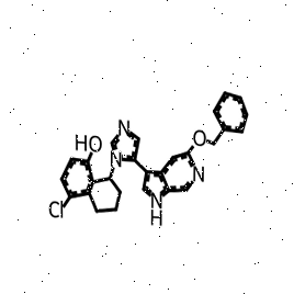 Oc1ccc(Cl)c2c1C(n1cncc1-c1c[nH]c3cnc(OCc4ccccc4)cc13)CCC2